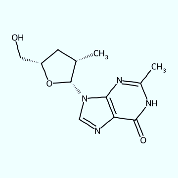 Cc1nc2c(ncn2[C@@H]2O[C@H](CO)C[C@@H]2C)c(=O)[nH]1